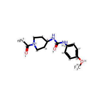 CCCC(=O)N1CCC(NC(=O)Nc2ccc(OC(F)(F)F)cc2)CC1